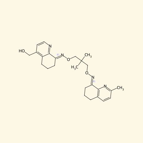 Cc1ccc2c(n1)/C(=N/OCC(C)(C)CO/N=C1\CCCc3c(CO)ccnc31)CCC2